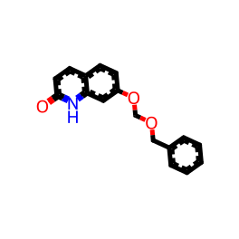 O=c1ccc2ccc(OCOCc3ccccc3)cc2[nH]1